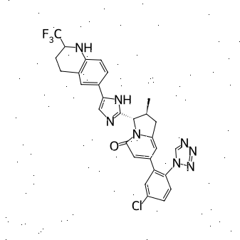 C[C@H]1Cc2cc(-c3cc(Cl)ccc3-n3cnnn3)cc(=O)n2[C@@H]1c1ncc(-c2ccc3c(c2)CCC(C(F)(F)F)N3)[nH]1